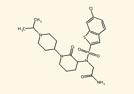 CC(C)N1CCC(N2CCCC(N(CC(N)=O)S(=O)(=O)c3cc4ccc(Cl)cc4s3)C2=O)CC1